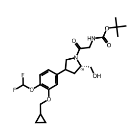 CC(C)(C)OC(=O)NCC(=O)N1CC(c2ccc(OC(F)F)c(OCC3CC3)c2)C[C@H]1CO